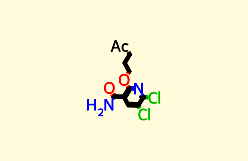 CC(=O)CCCOc1nc(Cl)c(Cl)cc1C(N)=O